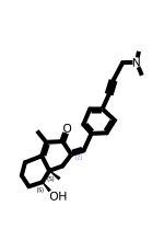 CC1=C2CCC[C@H](O)[C@@]2(C)C/C(=C/c2ccc(C#CCN(C)C)cc2)C1=O